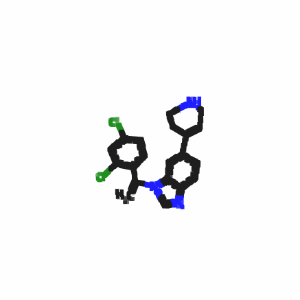 C=C(c1ccc(Cl)cc1Cl)n1cnc2ccc(C3=CCNCC3)cc21